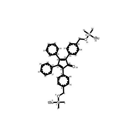 CC(C)(C)[Si](C)(C)OCc1ccc(C2=C(c3ccccc3)C(c3ccccc3)=C(c3ccc(CO[Si](C)(C)C(C)(C)C)cc3)C2=O)cc1